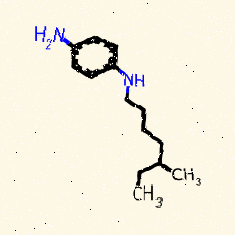 CCC(C)CCCCNc1ccc(N)cc1